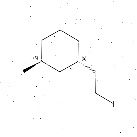 C[C@H]1CCC[C@H](CCI)C1